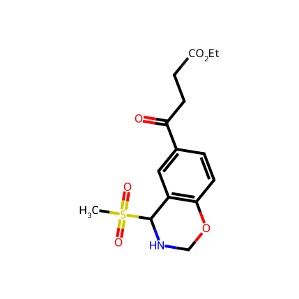 CCOC(=O)CCC(=O)c1ccc2c(c1)C(S(C)(=O)=O)NCO2